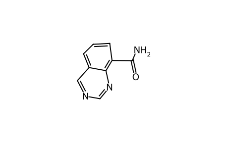 NC(=O)c1cccc2cncnc12